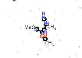 COc1ccc(-c2cn(S(=O)(=O)c3ccc(C)cc3)c3ncc(-c4cn(C5CCNCC5)nc4C)cc23)cn1